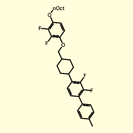 CCCCCCCCOc1ccc(OCC2CCC(c3ccc(-c4ccc(C)cc4)c(F)c3F)CC2)c(F)c1F